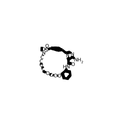 CCN1CCOCCOCCOc2ccccc2NC(=O)c2nc(cnc2N)-c2ccc(cc2)S1(=O)=O